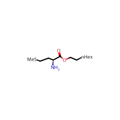 CCCCCCCCOC(=O)[C@@H](N)CCSC